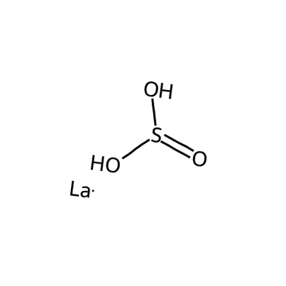 O=S(O)O.[La]